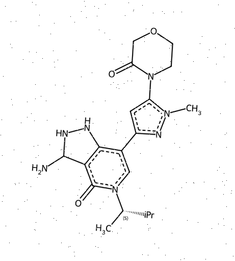 CC(C)[C@H](C)n1cc(-c2cc(N3CCOCC3=O)n(C)n2)c2c(c1=O)C(N)NN2